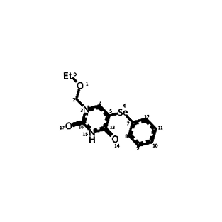 CCOCn1cc([Se]c2ccccc2)c(=O)[nH]c1=O